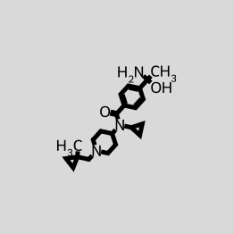 CC1(CN2CCC(N(C(=O)c3ccc(C(C)(N)O)cc3)C3CC3)CC2)CC1